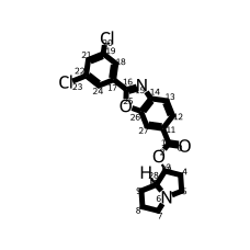 O=C(O[C@@H]1CCN2CCC[C@@H]12)c1ccc2nc(-c3cc(Cl)cc(Cl)c3)oc2c1